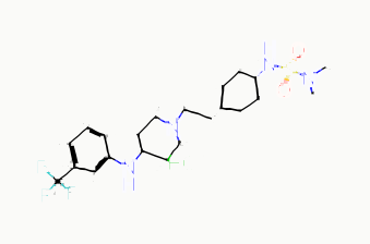 CN(C)S(=O)(=O)N[C@H]1CC[C@H](CCN2CCC(Nc3cccc(C(F)(F)F)c3)CC2)CC1.Cl